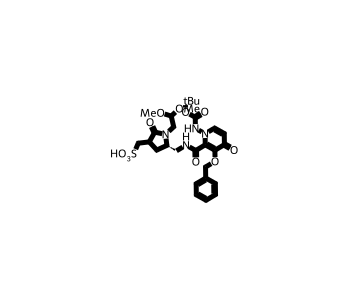 COC(CN1C(=O)C(CS(=O)(=O)O)C[C@H]1CNC(=O)c1c(OCc2ccccc2)c(=O)ccn1NC(=O)OC(C)(C)C)OC